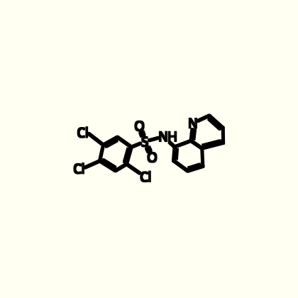 O=S(=O)(Nc1cccc2cccnc12)c1cc(Cl)c(Cl)cc1Cl